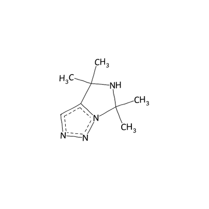 CC1(C)NC(C)(C)n2nncc21